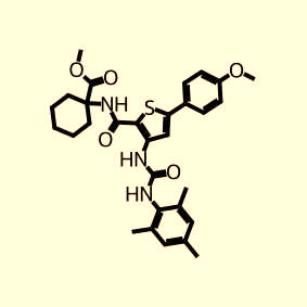 COC(=O)C1(NC(=O)c2sc(-c3ccc(OC)cc3)cc2NC(=O)Nc2c(C)cc(C)cc2C)CCCCC1